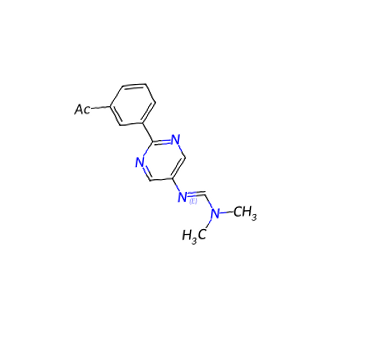 CC(=O)c1cccc(-c2ncc(/N=C/N(C)C)cn2)c1